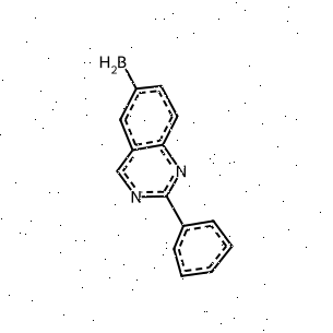 Bc1ccc2nc(-c3ccccc3)ncc2c1